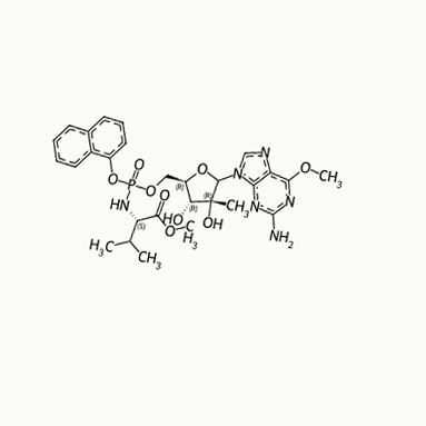 COC(=O)[C@@H](NP(=O)(OC[C@H]1OC(n2cnc3c(OC)nc(N)nc32)[C@](C)(O)[C@@H]1O)Oc1cccc2ccccc12)C(C)C